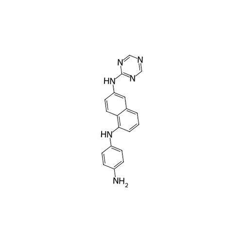 Nc1ccc(Nc2cccc3cc(Nc4ncncn4)ccc23)cc1